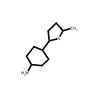 CC1CCC(C2CCC(N)CC2)S1